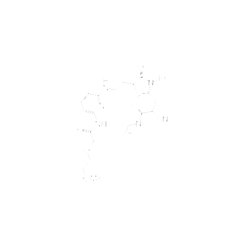 CCN1C(=O)C(CCNc2cccc(NC(=O)COCCOC)n2)SC1CC(C#N)C(=O)NCC(F)(F)F